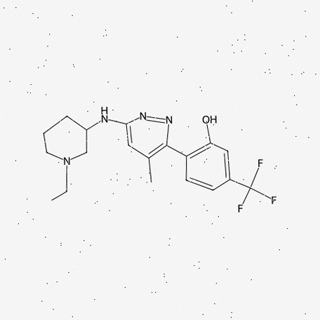 CCN1CCCC(Nc2cc(C)c(-c3ccc(C(F)(F)F)cc3O)nn2)C1